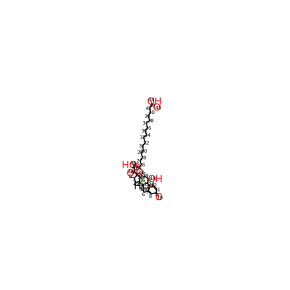 C[C@@H]1C[C@H]2[C@@H]3CCC4=CC(=O)C=C[C@]4(C)[C@@]3(F)[C@@H](O)C[C@]2(C)[C@@]1(OC(=O)CCCCCCCCCCCCCCCCC(=O)O)C(=O)CO